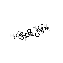 CC(C)(C)OC(=O)c1cc(Cl)c(OC[C@H]2CCCN(OC(=O)C(C)(C)C)C2)cc1F